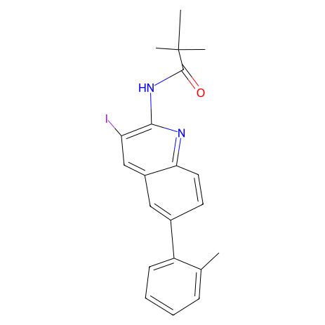 Cc1ccccc1-c1ccc2nc(NC(=O)C(C)(C)C)c(I)cc2c1